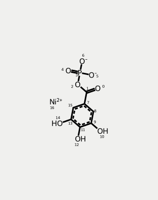 O=C(OP(=O)([O-])[O-])c1cc(O)c(O)c(O)c1.[Ni+2]